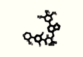 COC(=O)[C@H](Cc1ccc(C2=NC(C)=C(C)N(C)C2)c2nccn12)NC(=O)c1c(F)cc(N2CCOC[C@@H]2C(F)(F)F)cc1F